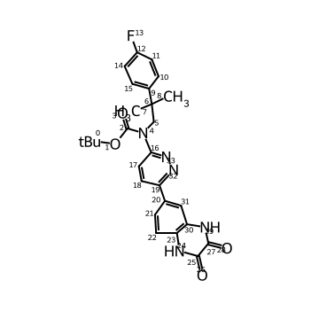 CC(C)(C)OC(=O)N(CC(C)(C)c1ccc(F)cc1)c1ccc(-c2ccc3[nH]c(=O)c(=O)[nH]c3c2)nn1